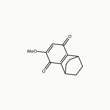 COC1=CC(=O)C2=C(C1=O)C1CCC2CC1